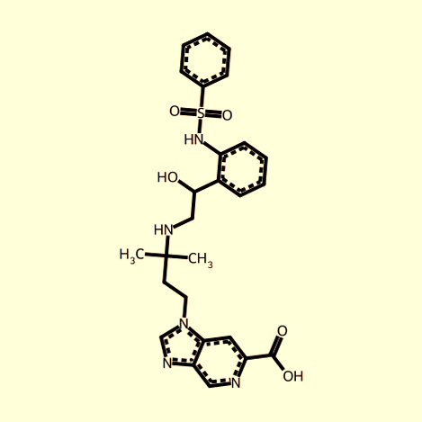 CC(C)(CCn1cnc2cnc(C(=O)O)cc21)NCC(O)c1ccccc1NS(=O)(=O)c1ccccc1